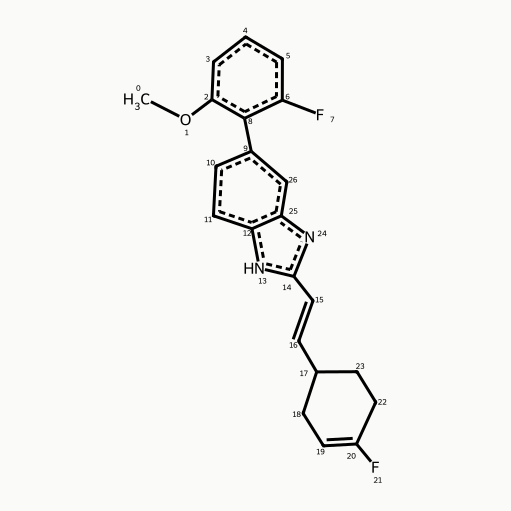 COc1cccc(F)c1-c1ccc2[nH]c(C=CC3CC=C(F)CC3)nc2c1